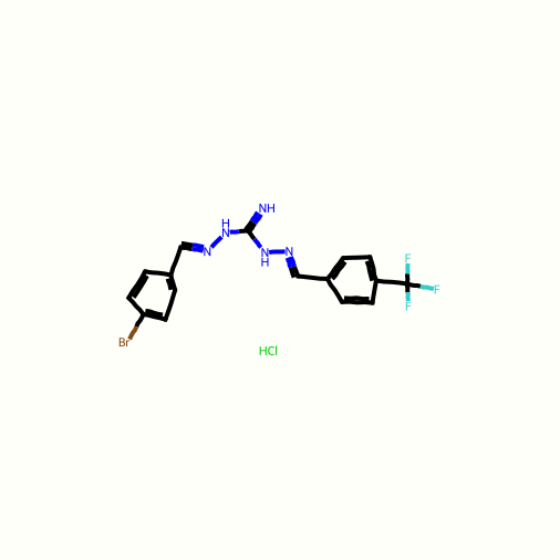 Cl.N=C(NN=Cc1ccc(Br)cc1)NN=Cc1ccc(C(F)(F)F)cc1